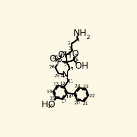 NCCCCC1(C(=O)O)CN(Cc2ccc(O)cc2-c2ccccc2)CCP1(=O)O